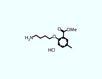 COC(=O)c1cc(C)ccc1OCCCCN.Cl